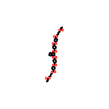 C=CC(=O)OCCCCOC(=O)C1CCC(OC(=O)C2CCC(C(=O)Oc3ccc(OC(=O)C4CCC(C(=O)OC5CCC(C(=O)OCCCCOC(=O)C=C)CC5)CC4)c4ccccc34)CC2)CC1